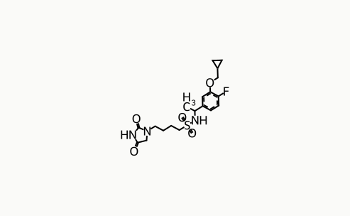 CC(NS(=O)(=O)CCCCN1CC(=O)NC1=O)c1ccc(F)c(OCC2CC2)c1